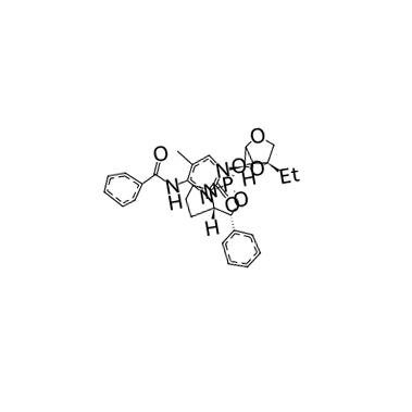 CC[C@@]12COC([C@H](n3cc(C)c(NC(=O)c4ccccc4)nc3=O)O1)[C@H]2O[P@@]1O[C@H](c2ccccc2)[C@@H]2CCCN21